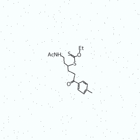 CCOC(=S)SC(CCNC(C)=O)CCC(=O)c1ccc(C)cc1